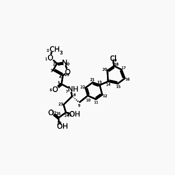 COc1cc(C(=O)N[C@H](Cc2ccc(-c3cccc(Cl)c3)cc2)CC(O)C(=O)O)on1